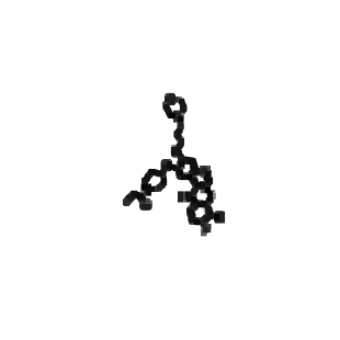 C=CC(=O)N1CCC(Oc2cc3c(Nc4ccc(F)c(Cl)c4F)ncnc3cc2OCCCN2CCOCC2)CC1